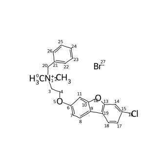 C[N+](C)(CCOc1ccc2c(c1)oc1cc(Cl)ccc12)Cc1ccccc1.[Br-]